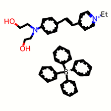 CC[n+]1ccc(/C=C/c2ccc(N(CCO)CCO)cc2)cc1.c1ccc([B-](c2ccccc2)(c2ccccc2)c2ccccc2)cc1